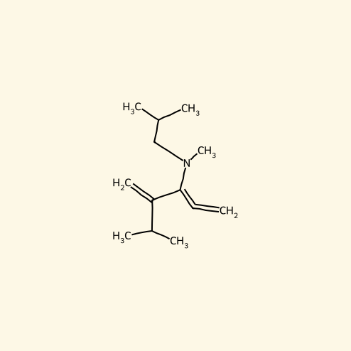 C=C=C(C(=C)C(C)C)N(C)CC(C)C